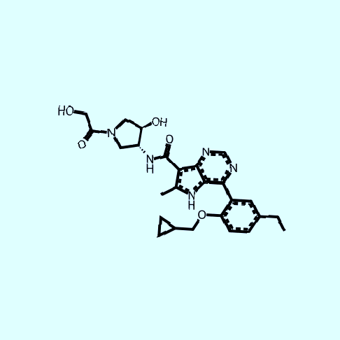 CCc1ccc(OCC2CC2)c(-c2ncnc3c(C(=O)N[C@@H]4CN(C(=O)CO)C[C@H]4O)c(C)[nH]c23)c1